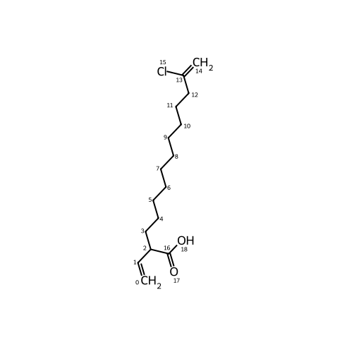 C=CC(CCCCCCCCCCC(=C)Cl)C(=O)O